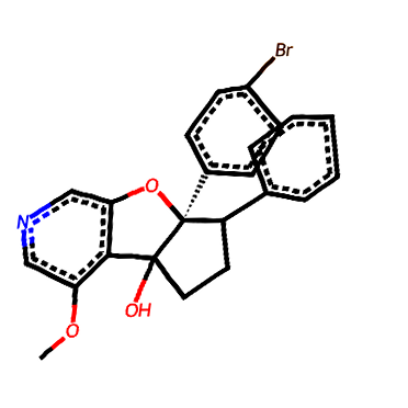 COc1cncc2c1C1(O)CCC(c3ccccc3)[C@]1(c1ccc(Br)cc1)O2